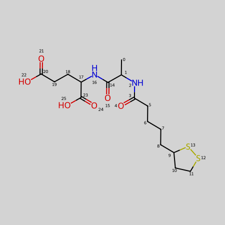 CC(NC(=O)CCCCC1CCSS1)C(=O)NC(CCC(=O)O)C(=O)O